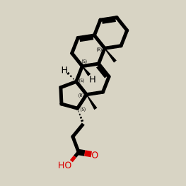 C[C@]12CCC=CC1=CC[C@@H]1C2=CC[C@]2(C)[C@H](CCC(=O)O)CC[C@@H]12